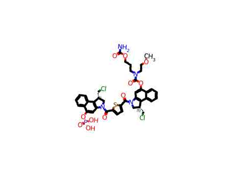 COCCN(CCCOC(N)=O)C(=O)Oc1cc2c(c3ccccc13)[C@H](CCl)CN2C(=O)c1ccc(C(=O)N2C[C@@H](CCl)c3c2cc(OP(=O)(O)O)c2ccccc32)s1